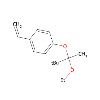 C=Cc1ccc(OC(C)(OCC)C(C)(C)C)cc1